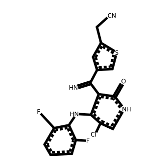 N#CCc1cc(C(=N)c2c(Nc3c(F)cccc3F)c(Cl)c[nH]c2=O)cs1